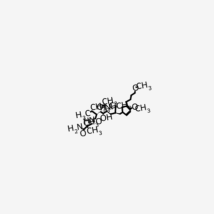 COCCCCC1=C(OC)C=CC(C[C@@H](C[C@H](NC(C)=O)[C@@H](O)C[C@H](C(=O)NCC(C)(C)C(N)=O)C(C)C)C(C)C)C1